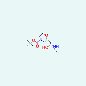 CCNC(O)CC1CN(C(=O)OC(C)(C)C)CCO1